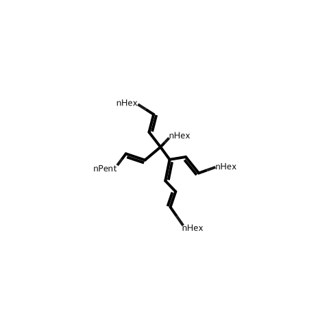 CCCCCC=CC(C=CCCCCCC)(CCCCCC)C(C=CCCCCCC)=CC=CCCCCCC